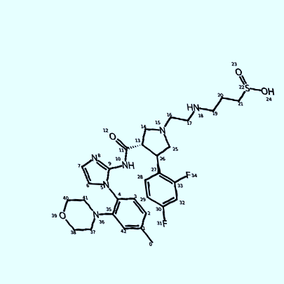 Cc1ccc(-n2ccnc2NC(=O)[C@@H]2CN(CCNCCCS(=O)O)C[C@H]2c2ccc(F)cc2F)c(N2CCOCC2)c1